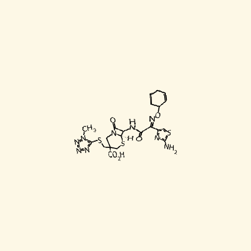 Cn1nnnc1SCC1(C(=O)O)CS[C@@H]2C(NC(=O)C(=NOC3C=CCCC3)c3csc(N)n3)C(=O)N2C1